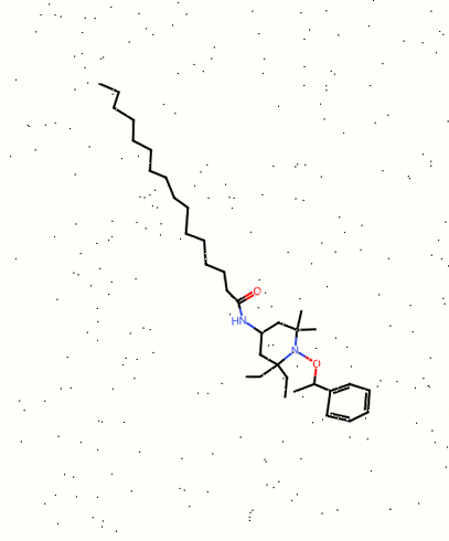 CCCCCCCCCCCCCCCC(=O)NC1CC(C)(C)N(OC(C)c2ccccc2)C(CC)(CC)C1